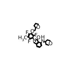 Cc1c(F)c(OCC2CCCO2)c(F)c(N2Cc3cccc(NC4CCOCC4)c3C2=O)c1F